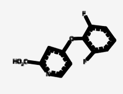 O=C(O)c1cc(Oc2c(F)cccc2F)ccn1